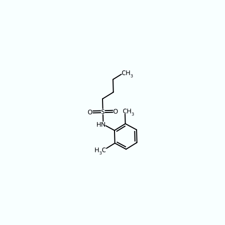 CCCCS(=O)(=O)Nc1c(C)cccc1C